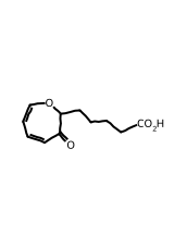 O=C(O)CCCCC1OC=CC=CC1=O